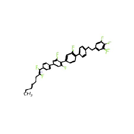 CCCCCC/C(F)=C(\F)c1ccc(-c2cc(F)c(-c3ccc(-c4ccc(CCc5cc(F)c(F)c(F)c5)cc4)c(F)c3)c(F)c2)cc1